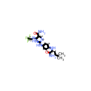 CC(C)CC[C@H](Nc1ccc(Nc2ncc(C(N)=O)c(NCC(F)(F)F)n2)cc1)C(N)=O